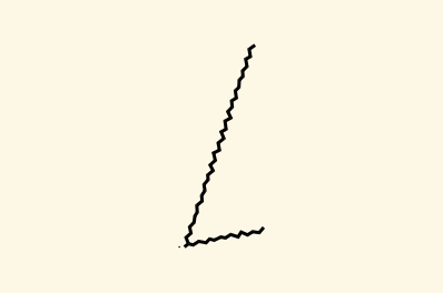 [CH2]C(CCCCCCCCCCCCCC)CCCCCCCCCCCCCCCCCCCCCCCCCCCCCCCCCCCCCC